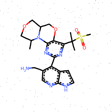 CC1COCC2COc3c(nc(-c4c(CN)cnc5[nH]ccc45)nc3C(C)(C)S(C)(=O)=O)N12